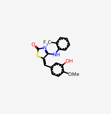 COc1ccc(C=C2SC(=O)N=C2Nc2ccccc2C(F)(F)F)cc1O